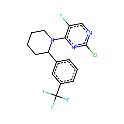 Fc1cnc(Cl)nc1N1CCCCC1c1cccc(C(F)(F)F)c1